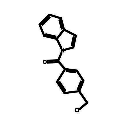 O=C(c1ccc(CCl)cc1)n1ccc2ccccc21